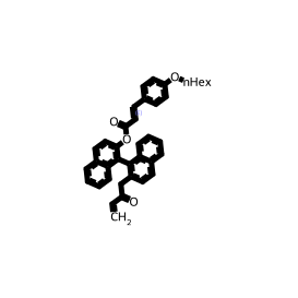 C=CC(=O)Cc1ccc2ccccc2c1-c1c(OC(=O)/C=C/c2ccc(OCCCCCC)cc2)ccc2ccccc12